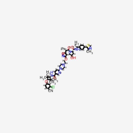 Cc1ncsc1-c1ccc([C@H](C)NC(=O)[C@@H]2C[C@@H](O)CN2C(=O)[C@H](c2cc(OCCN3CCN(c4ccc(C(=O)N[C@H]5C(C)(C)[C@H](Oc6ccc(C#N)c(Cl)c6)C5(C)C)cn4)CC3)no2)C(C)C)cc1